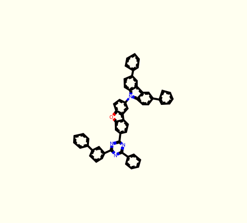 c1ccc(-c2cccc(-c3nc(-c4ccccc4)nc(-c4ccc5c(c4)oc4ccc(-n6c7ccc(-c8ccccc8)cc7c7cc(-c8ccccc8)ccc76)cc45)n3)c2)cc1